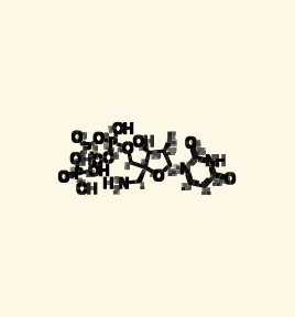 NC[C@]1(COP(=O)(O)OP(=O)(O)OP(=O)(O)O)O[C@@H](n2ccc(=O)[nH]c2=O)[C@H](F)[C@@H]1O